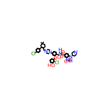 CN1CCC(Nc2ccc(S(=O)(=O)NC(=O)c3ccc(N4CCN(CC5=C(c6ccc(Cl)cc6)CC(C)(C)CC5)CC4)cc3Oc3cccc(O)c3Cl)cc2[N+](=O)[O-])CC1